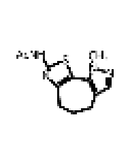 CC(=O)Nc1nc2c(s1)-c1c(cnn1C)CCC2